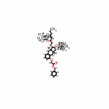 CCCCCC(CC[C@H]1C(O[Si](C)(C)C(C)(C)C)C[C@@H]2Cc3c(cccc3OCC(=O)OCc3ccccc3)C[C@@H]21)O[Si](C)(C)C(C)(C)C